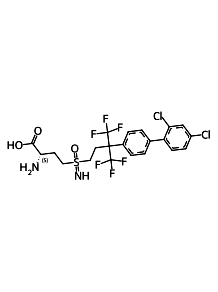 N=S(=O)(CC[C@H](N)C(=O)O)CCC(c1ccc(-c2ccc(Cl)cc2Cl)cc1)(C(F)(F)F)C(F)(F)F